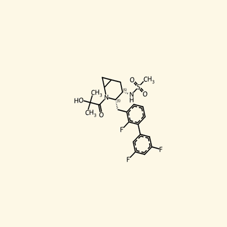 CC(C)(O)C(=O)N1C2CC2C[C@H](NS(C)(=O)=O)[C@@H]1Cc1cccc(-c2cc(F)cc(F)c2)c1F